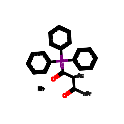 CCCC(=O)C(C(C)=O)C(=O)[PH](c1ccccc1)(c1ccccc1)c1ccccc1.[Rh]